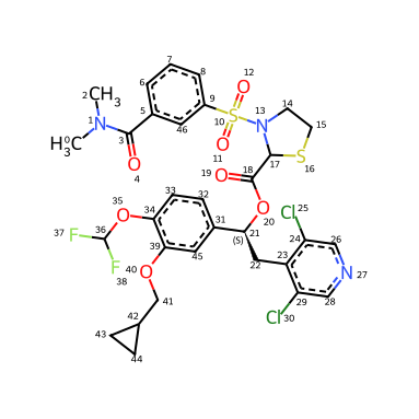 CN(C)C(=O)c1cccc(S(=O)(=O)N2CCSC2C(=O)O[C@@H](Cc2c(Cl)cncc2Cl)c2ccc(OC(F)F)c(OCC3CC3)c2)c1